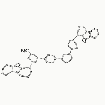 N#Cc1cc(-c2ccc(-c3cccc(-c4ccc(-c5cccc6c5oc5ccccc56)cc4)c3)cc2)cc(-c2cccc3c2oc2ccccc23)c1